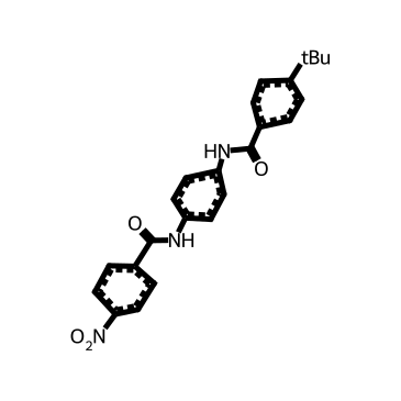 CC(C)(C)c1ccc(C(=O)Nc2ccc(NC(=O)c3ccc([N+](=O)[O-])cc3)cc2)cc1